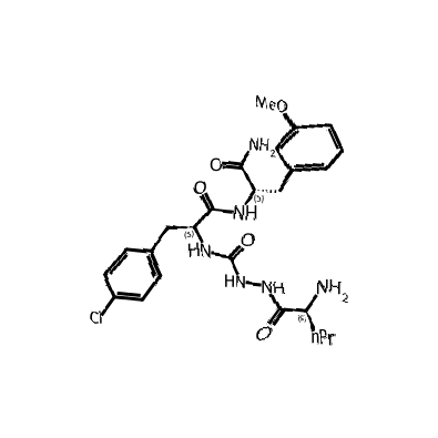 CCC[C@H](N)C(=O)NNC(=O)N[C@@H](Cc1ccc(Cl)cc1)C(=O)N[C@@H](Cc1cccc(OC)c1)C(N)=O